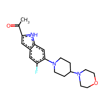 CC(=O)c1cc2cc(F)c(N3CCC(N4CCOCC4)CC3)cc2[nH]1